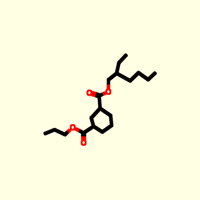 CCCCC(CC)COC(=O)C1CCCC(C(=O)OCCC)C1